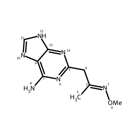 CO/N=C(\C)Cc1nc(N)c2nc[nH]c2n1